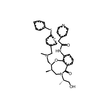 C[C@@H]1CN([C@@H](C)CO)C(=O)c2cccc(NC(=O)Cc3ccncc3)c2O[C@@H]1CN(C)Cc1ccc(Sc2ccccc2)cc1